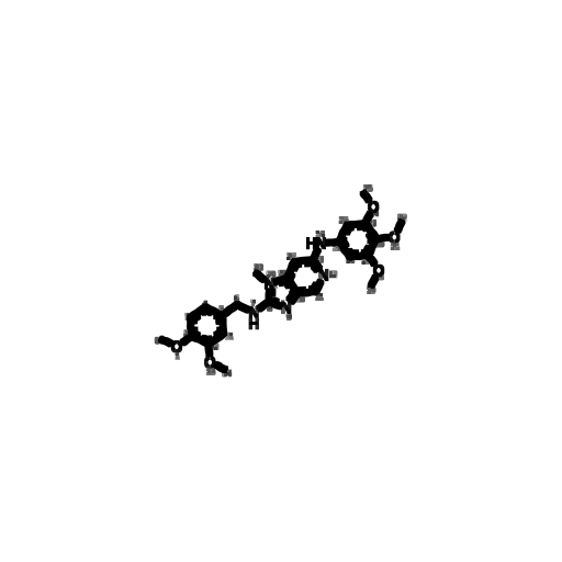 COc1ccc(CNc2nc3cnc(Nc4cc(OC)c(OC)c(OC)c4)cc3n2C)cc1OC